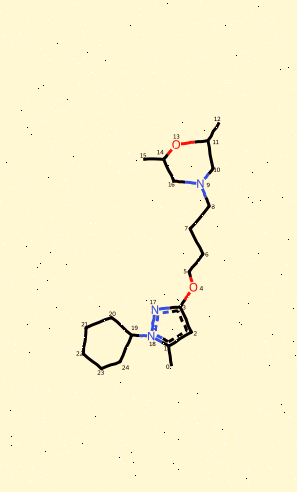 Cc1cc(OCCCCN2CC(C)OC(C)C2)nn1C1CCCCC1